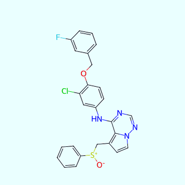 [O-][S+](Cc1ccn2ncnc(Nc3ccc(OCc4cccc(F)c4)c(Cl)c3)c12)c1ccccc1